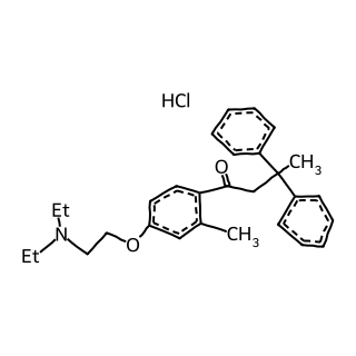 CCN(CC)CCOc1ccc(C(=O)CC(C)(c2ccccc2)c2ccccc2)c(C)c1.Cl